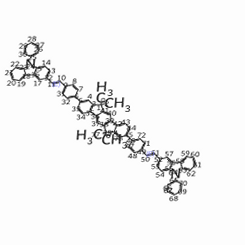 CC1(C)c2cc(-c3ccc(/C=C/c4ccc5c(c4)c4ccccc4n5-c4ccccc4)cc3)ccc2-c2cc3c(cc21)-c1ccc(-c2ccc(/C=C/c4ccc5c(c4)c4ccccc4n5-c4ccccc4)cc2)cc1C3(C)C